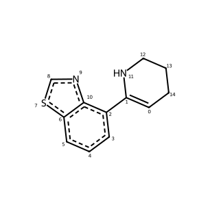 C1=C(c2cccc3scnc23)NCCC1